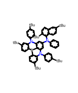 CC(C)(C)c1ccc(N2c3cc(C(C)(C)C)ccc3B3c4ccc(C(C)(C)C)cc4N(c4ccc(C(C)(C)C)cc4)c4cc(N(c5ccccc5)c5c(C(C)(C)C)ccc6cc(C(C)(C)C)ccc56)cc2c43)cc1